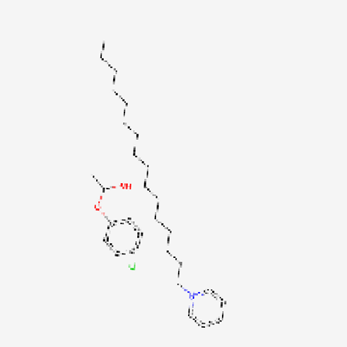 CC(O)Oc1ccccc1.CCCCCCCCCCCCCCCC[n+]1ccccc1.[Cl-]